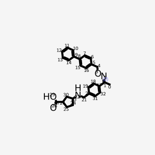 C/C(=N/OCc1ccc(-c2ccccc2)cc1)c1ccc(CNC2CCC(C(=O)O)C2)cc1